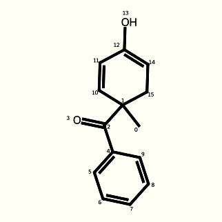 CC1(C(=O)c2ccccc2)C=CC(O)=CC1